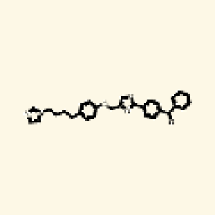 O=C(c1ccccc1)c1ccc(-c2nc(COc3ccc(CCCCn4ccnc4)cc3)co2)cc1